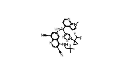 Cn1ccc2c([C@H](Nc3cc(C#N)c4ncc(C#N)c(NCC(C)(C)C)c4c3)c3cn(C4(C(F)F)CC4)nn3)ccnc21